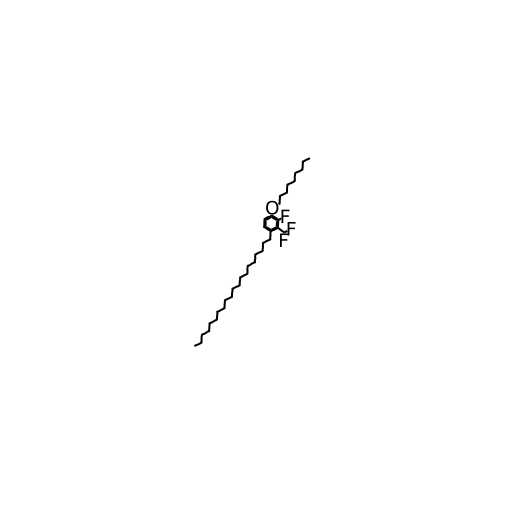 CCCCCCCCCCCCCCCCCCCCc1ccc(OCCCCCCCCC)c(F)c1C(F)F